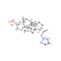 C=C(Cn1nccn1)[C@H]1CC[C@H]2[C@@H]3CC[C@H]4C[C@](C)(O)CC[C@@H]4[C@H]3CC[C@]12C